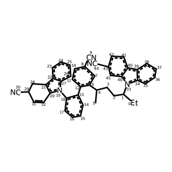 CCC(CCC(C)c1cc(C#N)ccc1-c1ccccc1-n1c2c(c3ccccc31)CC(C#N)C=C2)n1c2ccccc2c2ccc(C#N)cc21